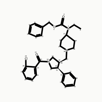 CCN(C(=O)OCc1ccccc1)C1CCN(C[C@@H]2CN(C(=O)c3ccccc3Cl)C[C@@H]2c2ccccc2)CC1